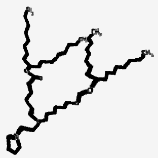 CCCCCCCCC(CCCCCCCC)OCOCCCCCCN(CCCCCC(=O)OC(CCCCCCCC)CCCCCCCC)CCN1CCCC1